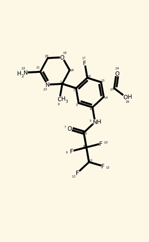 CC1(c2cc(NC(=O)C(F)(F)C(F)F)ccc2F)COCC(N)=N1.O=CO